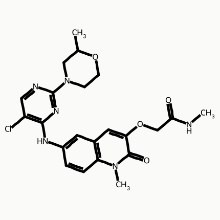 CNC(=O)COc1cc2cc(Nc3nc(N4CCOC(C)C4)ncc3Cl)ccc2n(C)c1=O